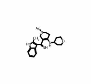 CC(=O)N1CCC(NC2CCOCC2)=C(C(=N)c2c(C)[nH]c3ccccc23)C1